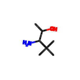 CC(O)C(N)C(C)(C)C